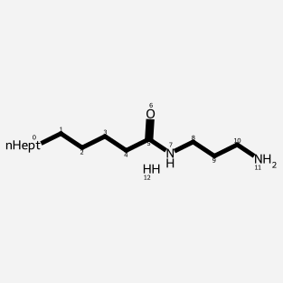 CCCCCCCCCCCC(=O)NCCCN.[HH]